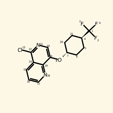 FC(F)(F)[C@H]1CC[C@H](Oc2cnc(Cl)c3cccnc23)CC1